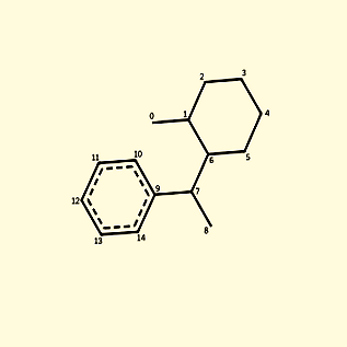 CC1CCCCC1C(C)c1ccccc1